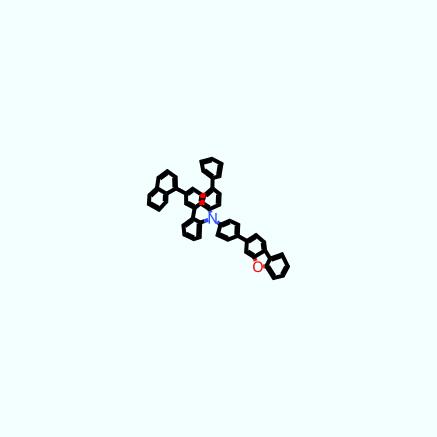 c1ccc(-c2ccc(N(c3ccc(-c4ccc5c(c4)oc4ccccc45)cc3)c3ccccc3-c3cccc(-c4cccc5ccccc45)c3)cc2)cc1